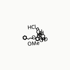 COc1cc(OCCCc2ccccc2)c2c3c1O[C@H]1C(=O)CC[C@H]4[C@@H](C2)N(CC2CCC2)CC[C@]314.Cl